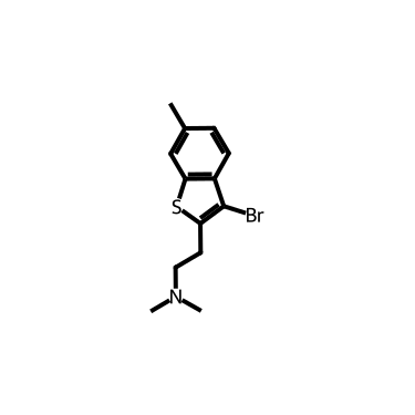 Cc1ccc2c(Br)c(CCN(C)C)sc2c1